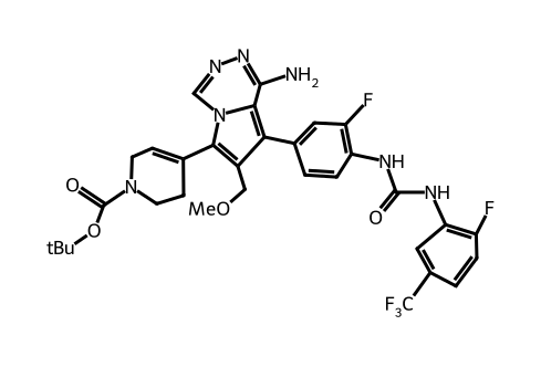 COCc1c(-c2ccc(NC(=O)Nc3cc(C(F)(F)F)ccc3F)c(F)c2)c2c(N)nncn2c1C1=CCN(C(=O)OC(C)(C)C)CC1